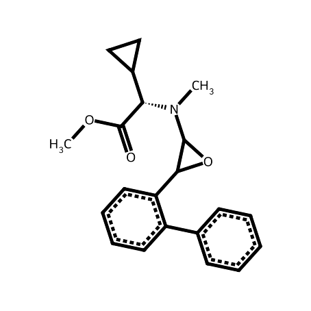 COC(=O)[C@H](C1CC1)N(C)C1OC1c1ccccc1-c1ccccc1